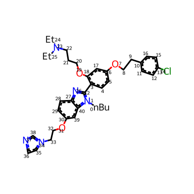 CCCCn1c(-c2ccc(OCCc3ccc(Cl)cc3)cc2OCCCN(CC)CC)nc2ccc(OCCn3ccnc3)cc21